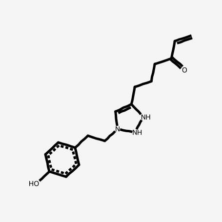 C=CC(=O)CCCC1=CN(CCc2ccc(O)cc2)NN1